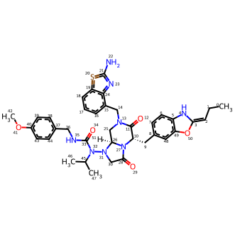 CC/C=C1\Nc2ccc(C[C@H]3C(=O)N(Cc4cccc5sc(N)nc45)C[C@H]4N3C(=O)CN4N(C(=O)NCc3ccc(OC)cc3)C(C)C)cc2O1